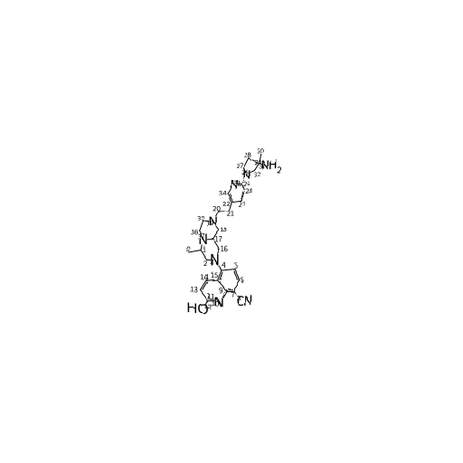 CC1CN(c2ccc(C#N)c3nc(O)ccc23)CC2CN(CCc3ccc(N4CCC(C)(N)C4)nc3)CCN12